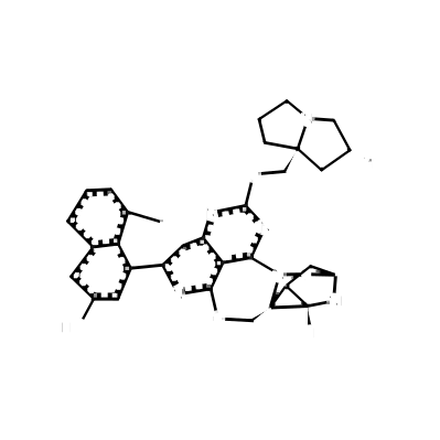 CCc1cccc2cc(O)cc(-c3cc4nc(OC[C@@]56CCCN5C[C@H](F)C6)nc5c4c(n3)OC[C@]34C6CC(CN53)N[C@@H]64)c12